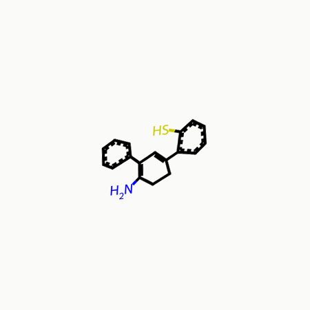 NC1=C(c2ccccc2)C=C(c2ccccc2S)CC1